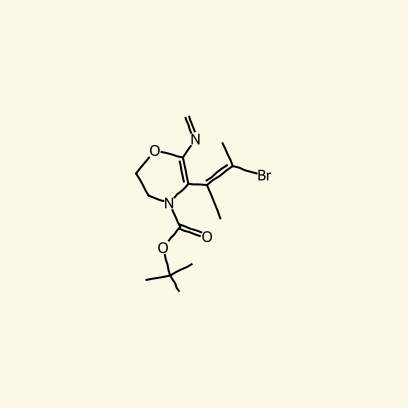 C=NC1=C(/C(C)=C(\C)Br)N(C(=O)OC(C)(C)C)CCO1